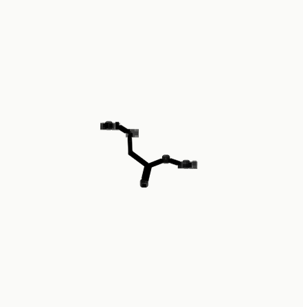 CCCCCCCCNCC(=O)OCCCCCCCC